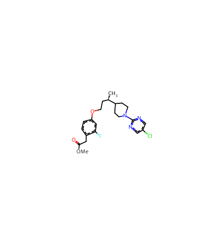 COC(=O)Cc1ccc(OCC[C@@H](C)C2CCN(c3ncc(Cl)cn3)CC2)cc1F